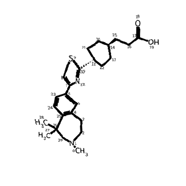 CN1CCc2cc(-c3csc([C@H]4CC[C@H](CCC(=O)O)CC4)n3)ccc2C(C)(C)C1